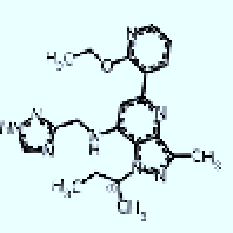 CCOc1ncccc1-c1cc(NCc2nc[nH]n2)c2c(n1)c(C)nn2[C@@H](C)CC